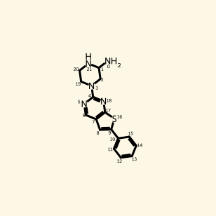 NC1CN(c2ncc3cc(-c4ccccc4)sc3n2)CCN1